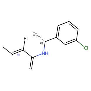 C=C(N[C@H](CC)c1cccc(Cl)c1)/C(=C/C)CC